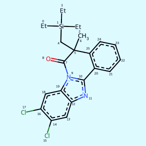 CC[Si](CC)(CC)CC1(C)C(=O)n2c(nc3cc(Cl)c(Cl)cc32)-c2ccccc21